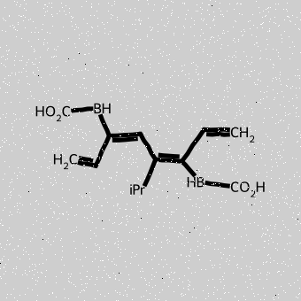 C=C/C(BC(=O)O)=C\C(=C(\BC(=O)O)C=C)C(C)C